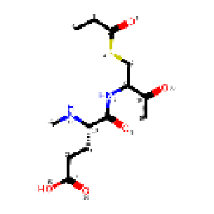 CCC(=O)SCC(NC(=O)[C@H](CCC(=O)O)NC)C(C)=O